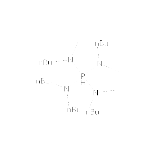 CCCCN(C)[PH](N(C)CCCC)(N(C)CCCC)N(CCCC)CCCC